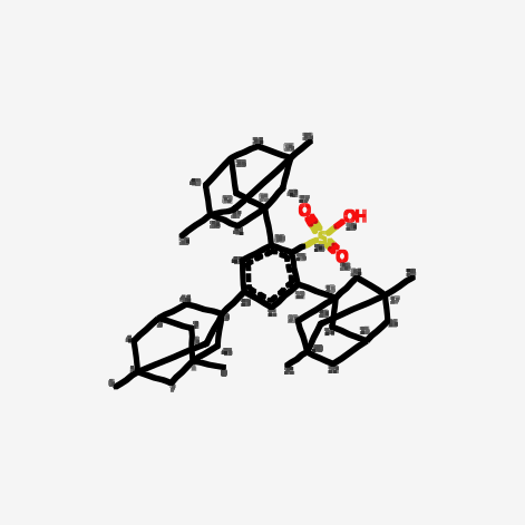 CC12CC3CC(C)(C1)CC(c1cc(C45CC6CC(C)(CC(C)(C6)C4)C5)c(S(=O)(=O)O)c(C45CC6CC(C)(CC(C)(C6)C4)C5)c1)(C3)C2